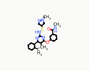 CNC(=O)c1cccc(Oc2nc(NSc3cnn(C)c3)nc(-c3ccccc3C)c2C)c1